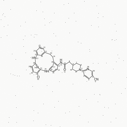 N#Cc1ccc(N2CCC(CC(=O)Nc3ccc4cc3CCc3cncc(c3)Nc3ncc(Cl)c(n3)N4)CC2)nc1